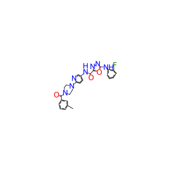 Cc1cccc(C(=O)N2CCN(c3ccc(NC(=O)c4nnc(Nc5ccccc5F)o4)cn3)CC2)c1